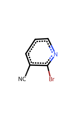 N#Cc1cccnc1Br